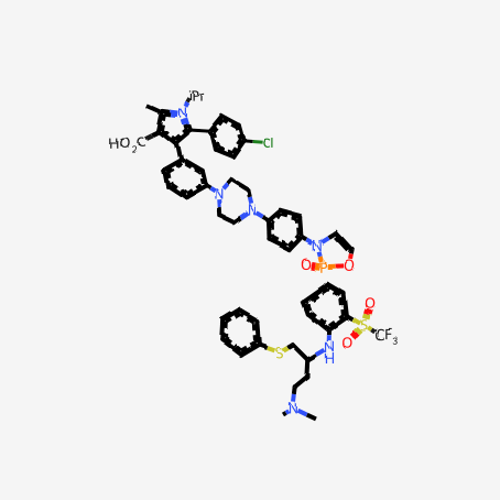 Cc1c(C(=O)O)c(-c2cccc(N3CCN(c4ccc(N5C=CO[P@@]5(=O)c5ccc(NC(CCN(C)C)CSc6ccccc6)c(S(=O)(=O)C(F)(F)F)c5)cc4)CC3)c2)c(-c2ccc(Cl)cc2)n1C(C)C